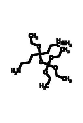 CCCC(CCCN)(OCC)O[Si](OCC)(OCC)OCC.N